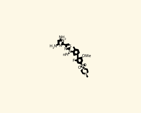 CCCN(c1nc(-c2nc(N)cc(N)n2)cs1)c1cc(-c2c(F)cc(S(=O)(=O)N3CCN(C)CC3)cc2OC)ccc1C